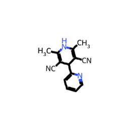 CC1=C(C#N)C(c2ccccn2)C(C#N)=C(C)N1